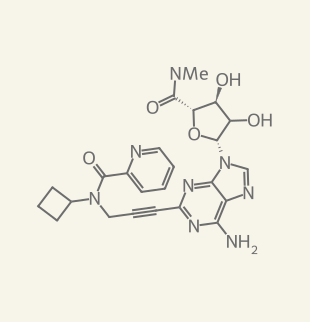 CNC(=O)[C@H]1O[C@@H](n2cnc3c(N)nc(C#CCN(C(=O)c4ccccn4)C4CCC4)nc32)C(O)[C@@H]1O